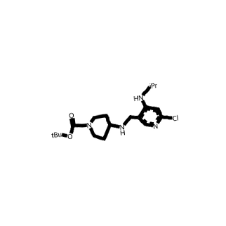 CC(C)Nc1cc(Cl)ncc1CNC1CCN(C(=O)OC(C)(C)C)CC1